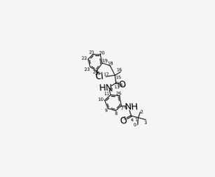 CC(C)(C)C(=O)Nc1cccc(NC(=O)C(C)(C)Cc2ccccc2Cl)c1